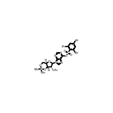 CC(=O)O[C@H]1C(n2cnc3c(OS(=O)(=O)c4c(C(C)C)cc(C(C)C)cc4C(C)C)ncnc32)O[C@@H]2CO[Si](C(C)(C)C)(C(C)(C)C)O[C@H]21